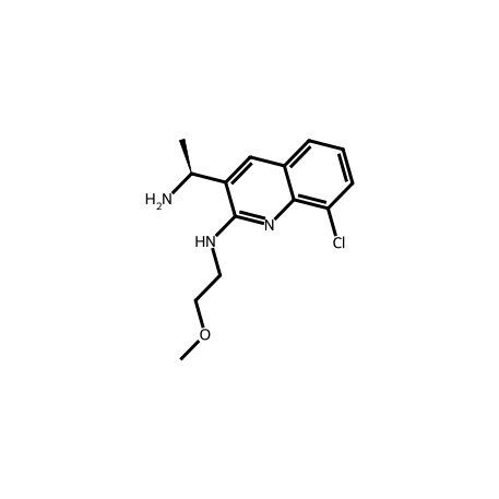 COCCNc1nc2c(Cl)cccc2cc1[C@H](C)N